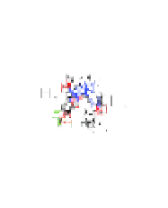 CNC(=O)[C@H]1Cn2nc3c(c2C(=O)N1[C@H](C)c1ccc(OC(F)F)cc1)CN(C(=O)c1ccc(Cl)c(C#N)c1)[C@H](C)C3